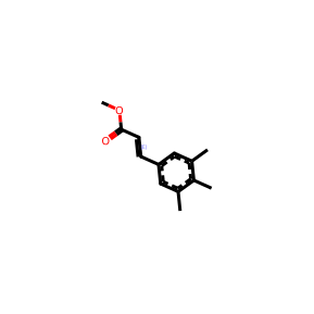 COC(=O)/C=C/c1cc(C)c(C)c(C)c1